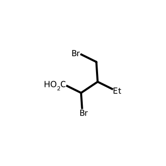 CCC(CBr)C(Br)C(=O)O